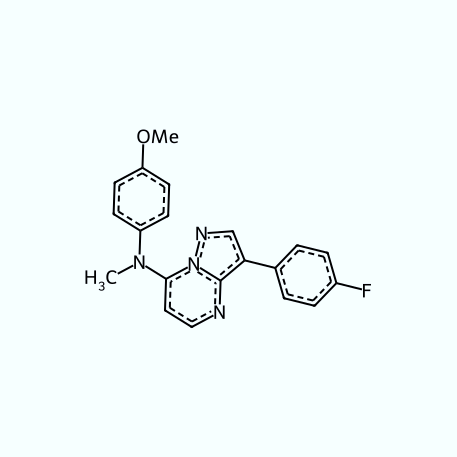 COc1ccc(N(C)c2ccnc3c(-c4ccc(F)cc4)cnn23)cc1